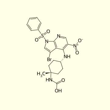 C[C@]1(NC(=O)O)CC[C@@H](Nc2c([N+](=O)[O-])cnc3c2c(Br)cn3S(=O)(=O)c2ccccc2)CC1